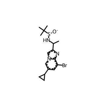 CC(N[S+]([O-])C(C)(C)C)c1cn2cc(C3CC3)cc(Br)c2n1